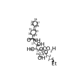 CCSCCCO[C@]1(C(=O)O)CC(O)C[C@H]([C@H](O)[C@H](O)CNC(=O)c2ccc(-c3ccccc3)cc2)O1